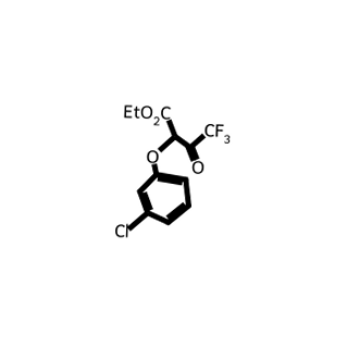 CCOC(=O)C(Oc1cccc(Cl)c1)C(=O)C(F)(F)F